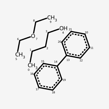 CCCCO.CCOCC.c1ccc(-c2ccccc2)cc1